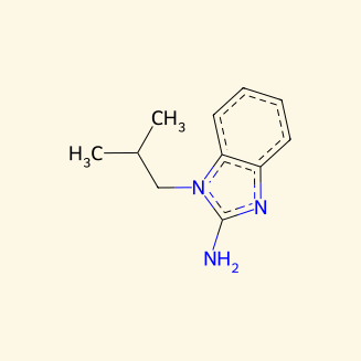 CC(C)Cn1c(N)nc2ccccc21